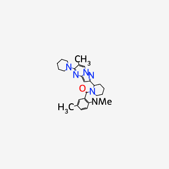 CNc1ccc(C)cc1C(=O)N1CCCCC1c1cc2nc(N3CCCCC3)c(C)cn2n1